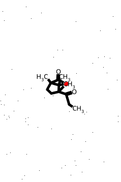 CCC(=O)C12CCC(C)(C(=O)O1)C2(C)C